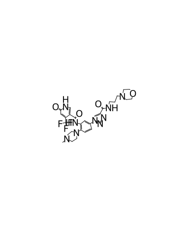 CN1CCN(c2ccc(-n3cc(C(=O)NCCCN4CCOCC4)nn3)cc2NC(=O)c2c[nH]c(=O)cc2C(F)(F)F)CC1